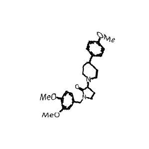 COc1ccc(C2CCN(C3CCN(Cc4ccc(OC)c(OC)c4)C3=O)CC2)cc1